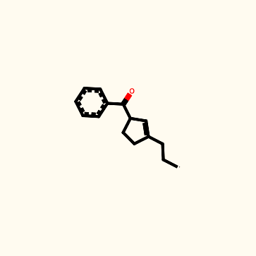 [CH2]CCC1=CC(C(=O)c2ccccc2)CC1